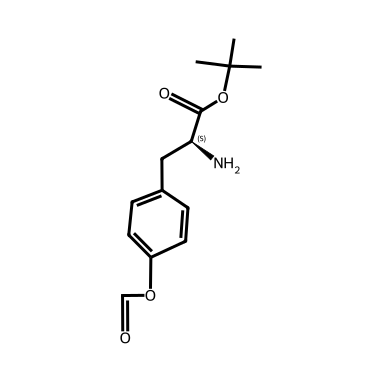 CC(C)(C)OC(=O)[C@@H](N)Cc1ccc(OC=O)cc1